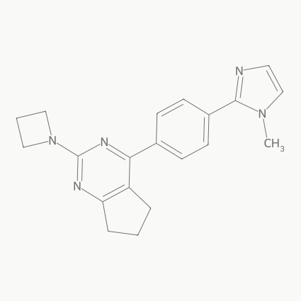 Cn1ccnc1-c1ccc(-c2nc(N3CCC3)nc3c2CCC3)cc1